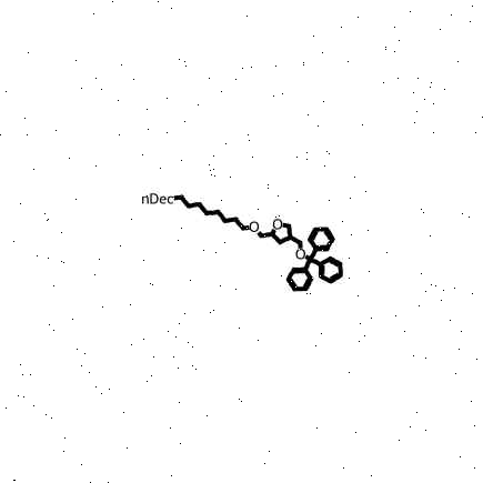 CCCCCCCCCCCCCCCCCCOCC1CC(COC(c2ccccc2)(c2ccccc2)c2ccccc2)CO1